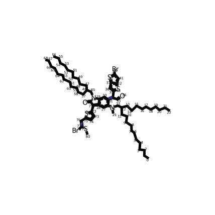 CCCCCCCCCCCCC(CCCCCCCCCC)CN(C)c1cc2c(c/c1=C(/C=O)c1cc3sc(Br)cc3s1)N(CC(CCCCCCCCCC)CCCCCCCCCCCC)C(=O)C=2c1ccc(/C=C(/Br)SC)s1